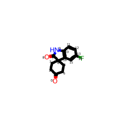 O=C1CCC2(CC1)C(=O)Nc1ccc(F)cc12